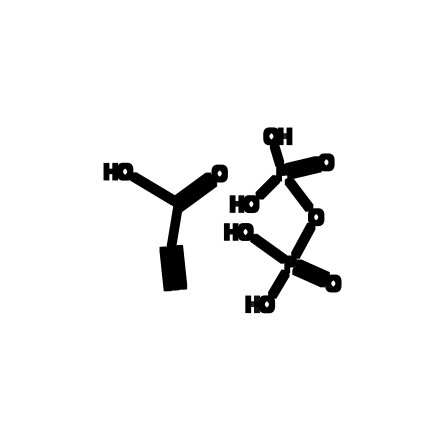 C#CC(=O)O.O=P(O)(O)OP(=O)(O)O